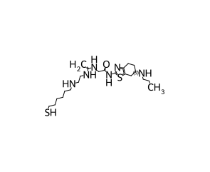 C=C(NCCNCCCCCCS)NCC(=O)Nc1nc2c(s1)C[C@@H](NCCC)CC2